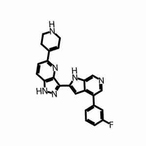 Fc1cccc(-c2cncc3[nH]c(-c4n[nH]c5ccc(C6=CCNCC6)nc45)cc23)c1